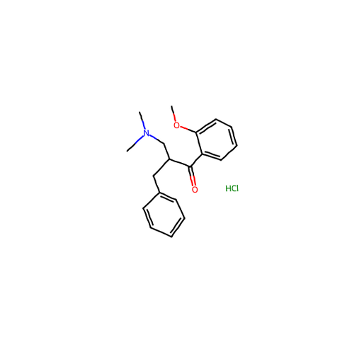 COc1ccccc1C(=O)C(Cc1ccccc1)CN(C)C.Cl